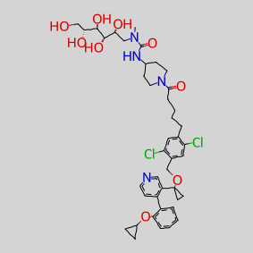 CN(C[C@H](O)[C@@H](O)[C@H](O)[C@H](O)CO)C(=O)NC1CCN(C(=O)CCCCc2cc(Cl)c(COC3(c4cnccc4-c4ccccc4OC4CC4)CC3)cc2Cl)CC1